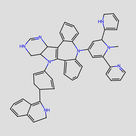 CN1C(c2ccccn2)=CC(N2c3ccccc3C3=C(c4ccccc42)N(C2=CCC(C4=c5ccccc5=CCN4)C=C2)C2CNC=NC32)=CC1C1=CC=CCN1